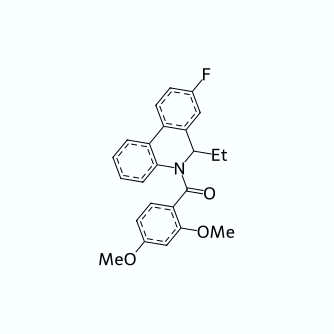 CCC1c2cc(F)ccc2-c2ccccc2N1C(=O)c1ccc(OC)cc1OC